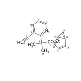 C#Cc1nccnc1C(C)(C)C(=O)OCC.c1cc2cc-2c1